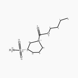 CCCCOC(=O)N1CCC[C@H](S(N)(=O)=O)C1